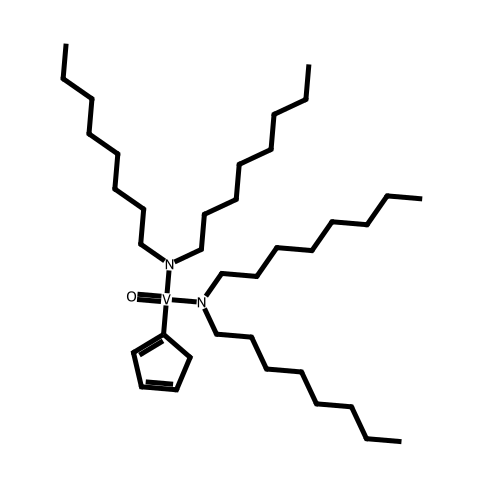 CCCCCCCC[N](CCCCCCCC)[V](=[O])([C]1=CC=CC1)[N](CCCCCCCC)CCCCCCCC